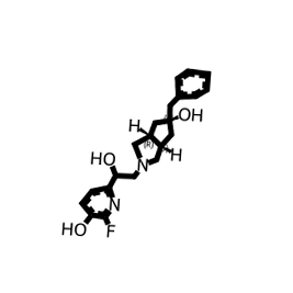 Oc1ccc(C(O)CN2C[C@@H]3C[C@](O)(Cc4ccccc4)C[C@@H]3C2)nc1F